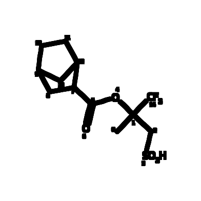 CC(CS(=O)(=O)O)(OC(=O)C1CC2CCC1C2)C(F)(F)F